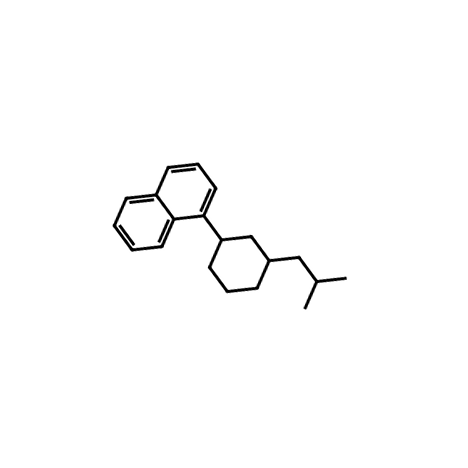 CC(C)CC1CCCC(c2cccc3ccccc23)C1